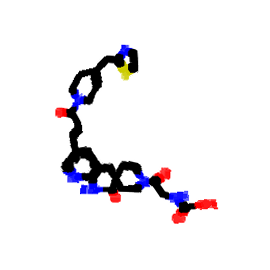 O=C(O)NCC(=O)N1CCC2(CC1)Cc1cc(C=CC(=O)N3CC=C(Cc4nccs4)CC3)cnc1NC2=O